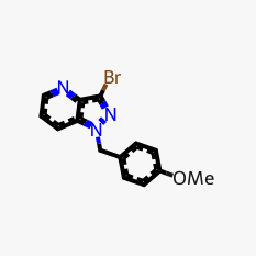 COc1ccc(Cn2nc(Br)c3ncccc32)cc1